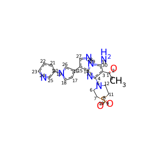 CC(=O)c1c(N2CCS(=O)(=O)CC2)nc2c(-c3ccn(-c4cccnc4)c3)cnn2c1N